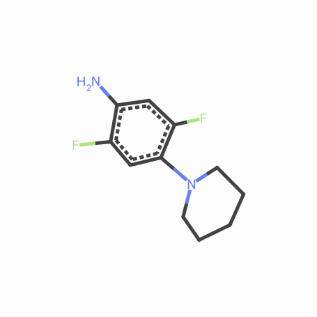 Nc1cc(F)c(N2CCCCC2)cc1F